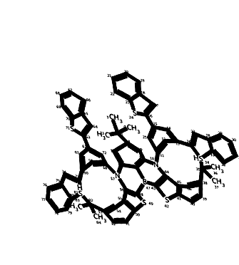 CC(C)(C)c1cc2c3c(c1)N1c4cc(cc(-c5cc6ccccc6s5)c4)C4=Cc5ccccc5[SH]4C(C)(C)c4ccc5sc(c1c5c4)B3c1sc3ccc4cc3c1N2c1cc(cc(-c2cc3ccccc3s2)c1)C1=Cc2ccccc2[SH]1C4(C)C